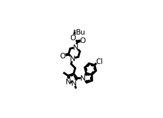 Cc1nn(C)c(-n2ccc3cc(Cl)ccc32)c1CCN1CCN(C(=O)OC(C)(C)C)CC1=O